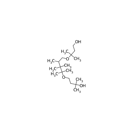 CC(COC(C)(C)CCO)C(C)(C)C(C)(C)OCCC(C)(C)O